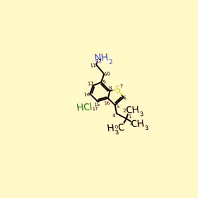 CC(C)(C)Cc1csc2c(CCN)cccc12.Cl